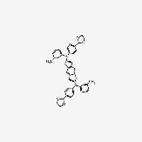 Cc1cccc(N(c2ccc(C3OCCO3)cc2)c2cc3cc4sc(N(c5ccc(C6OCCO6)cc5)c5cccc(C)c5)cc4cc3s2)c1